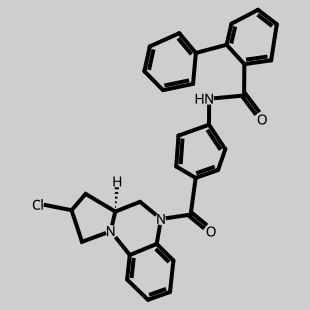 O=C(Nc1ccc(C(=O)N2C[C@@H]3CC(Cl)CN3c3ccccc32)cc1)c1ccccc1-c1ccccc1